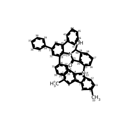 Cc1ccc2c(c1)c1cc(C)ccc1n2-c1cccc2c1C(=O)N(c1c(-c3ccccc3)cc(-c3ccccc3)cc1-c1ccccc1)C2O